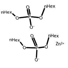 CCCCCCOP(=O)([O-])OCCCCCC.CCCCCCOP(=O)([O-])OCCCCCC.[Zn+2]